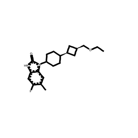 CCOC[C@H]1C[C@@H](C2CCC(n3c(=O)[nH]c4cc(F)c(C)cc43)CC2)C1